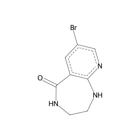 O=C1NCCNc2ncc(Br)cc21